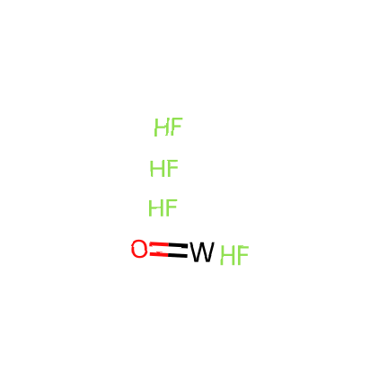 F.F.F.F.[O]=[W]